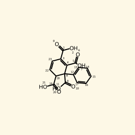 O=C(O)C1=C(C(=O)O)C(C(=O)O)(c2ccccc2)C(C(=O)O)C=C1